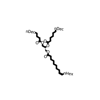 CCCCCC/C=C\CCCCCCCC(=O)OC[C@H](COC(=O)CCCCCCCCCCCCC)OC(=O)CCCCCCCCCCCCCCC